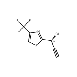 C#C[C@H](O)c1nc(C(F)(F)F)cs1